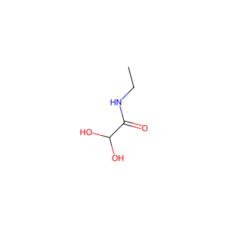 CCNC(=O)C(O)O